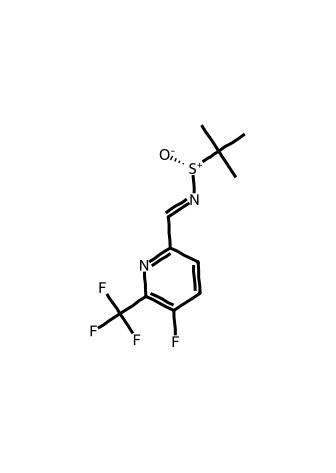 CC(C)(C)[S@@+]([O-])N=Cc1ccc(F)c(C(F)(F)F)n1